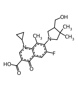 Cc1c(N2CC(CO)C(C)(C)C2)c(F)cc2c(=O)c(C(=O)O)cn(C3CC3)c12